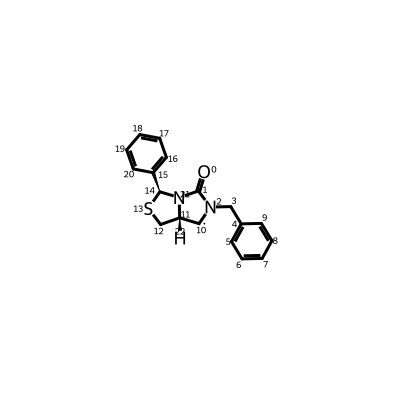 O=C1N(Cc2ccccc2)[CH][C@@H]2CS[C@@H](c3ccccc3)N12